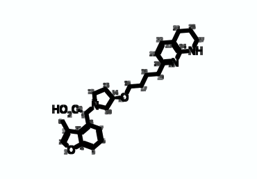 Cc1coc2cccc([C@H](C(=O)O)N3CC[C@@H](OCCCCc4ccc5c(n4)NCCC5)C3)c12